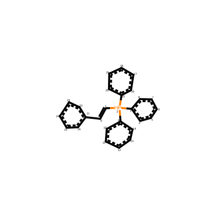 C(=C[PH](c1ccccc1)(c1ccccc1)c1ccccc1)c1ccccc1